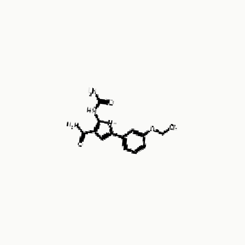 N#CCOc1cccc(-c2cc(C(N)=O)c(NC(N)=O)[nH]2)c1